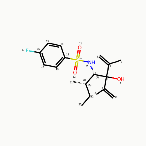 C=C(C)C(O)(C(=C)C)[C@@H](NS(=O)(=O)c1ccc(F)cc1)[C@@H](C)CC